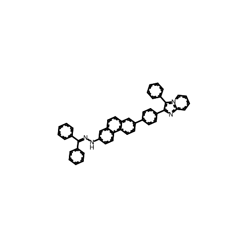 c1ccc(C(=NNc2ccc3c(ccc4cc(-c5ccc(-c6nc7ccccn7c6-c6ccccc6)cc5)ccc43)c2)c2ccccc2)cc1